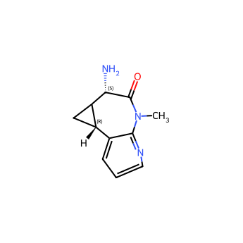 CN1C(=O)[C@@H](N)C2C[C@H]2c2cccnc21